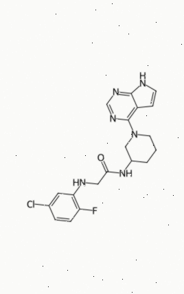 O=C(CNc1cc(Cl)ccc1F)NC1CCCN(c2ncnc3[nH]ccc23)C1